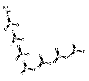 [Bi+3].[O]=[Nb](=[O])[O-].[O]=[Nb](=[O])[O-].[O]=[Nb](=[O])[O-].[O]=[Nb](=[O])[O-].[O]=[Nb](=[O])[O-].[O]=[Nb](=[O])[O-].[O]=[Nb](=[O])[O-].[Ti+4]